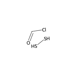 O=CCl.SS